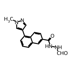 Cn1cc(-c2cccc3cc(C(=O)NNC=O)ccc23)cn1